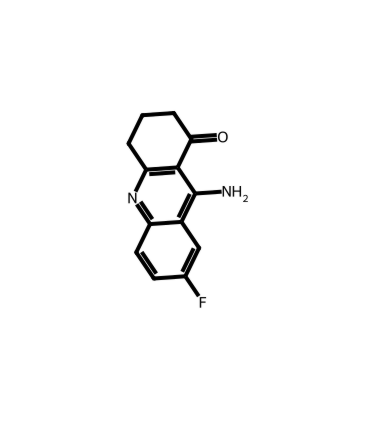 Nc1c2c(nc3ccc(F)cc13)CCCC2=O